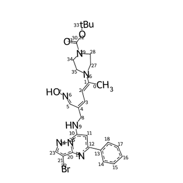 C\C(=C/C=C(\C=N\O)CNc1cc(-c2ccccc2)nc2c(Br)cnn12)N1CCN(C(=O)OC(C)(C)C)CC1